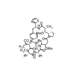 CC[C@H](C)[C@@H]([C@@H](CC(=O)N1CCC[C@H]1[C@H](OC)[C@@H](C)C(=O)N[C@@H](Cc1ccccc1)c1nccs1)OC)N(C)C(=O)[C@@H](NC(=O)[C@H](C(C)C)N(C)C(=O)[C@H](CC(C)C)N(C)C(=O)O)C(C)C